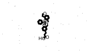 O=C(O)CCc1cccc(CN(Cc2ccc3c(c2)CCO3)S(=O)(=O)c2ccccc2)c1